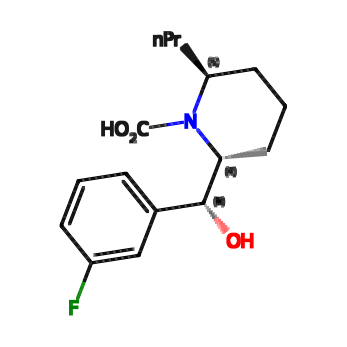 CCC[C@H]1CCC[C@H]([C@H](O)c2cccc(F)c2)N1C(=O)O